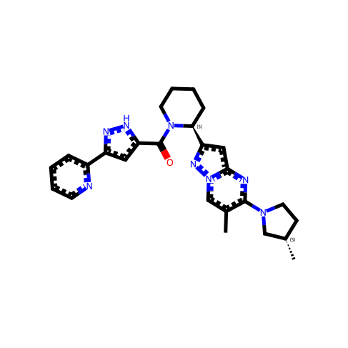 Cc1cn2nc([C@@H]3CCCCN3C(=O)c3cc(-c4ccccn4)n[nH]3)cc2nc1N1CC[C@H](C)C1